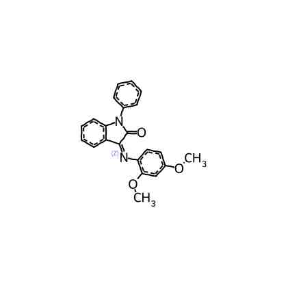 COc1ccc(/N=C2\C(=O)N(c3ccccc3)c3ccccc32)c(OC)c1